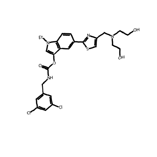 CCn1cc(OC(=O)NCc2cc(Cl)cc(Cl)c2)c2cc(-c3nc(CN(CCO)CCO)cs3)ccc21